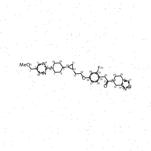 COCc1cnc(N2CCC([C@H]3C[C@H]3CCOc3ccc(CC(=O)N4CCn5cnnc5C4)c(F)c3)CC2)nc1